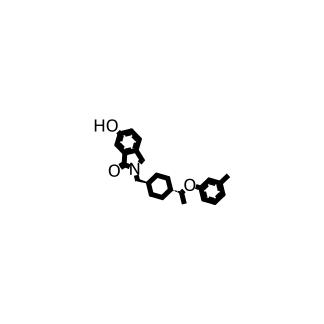 Cc1cccc(OC(C)[C@H]2CC[C@H](CN3Cc4ccc(O)cc4C3=O)CC2)c1